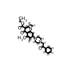 CCOC(=O)c1c2n(c3cc(N4CCN(CC(=O)c5ccccc5)CC4)c(F)c(C)c3c1=O)CS2